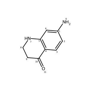 Nc1ccc2c(c1)NCCC2=O